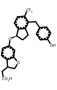 O=C(O)CC1COc2cc(O[C@@H]3CCc4c3ccc(C(F)(F)F)c4Cc3ccc(O)cc3)ccc21